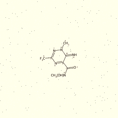 CN(O)C(=O)c1nc(C(F)(F)F)nn(C)c1=N